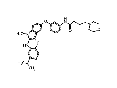 CC(C)c1ccc(F)c(Nc2nc3cc(Oc4ccnc(NC(=O)CCCN5CCOCC5)c4)ccc3n2C)c1